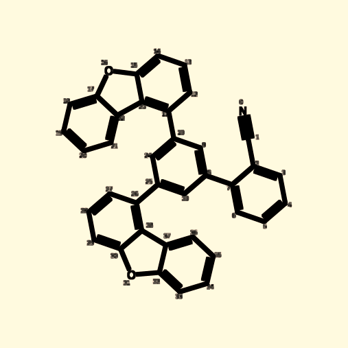 N#Cc1ccccc1-c1cc(-c2cccc3oc4ccccc4c23)cc(-c2cccc3oc4ccccc4c23)c1